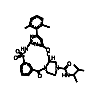 Cc1cccc(C)c1-c1cc2nc(n1)NS(=O)(=O)c1cccc(c1)C(=O)N1CCN(C(=O)NC(C)C(C)C)C[C@@H]1CO2